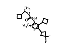 C[C@H](OC(=O)Nc1c(C2CCC2)c(C2CC(F)(F)C2)nn1C)C1CCC1